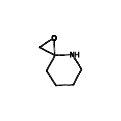 C1CCC2(CO2)NC1